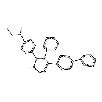 CCN(C)c1ccc(C2NCN=C(c3ccc(-c4ccccc4)cc3)N2c2ccccc2)cc1